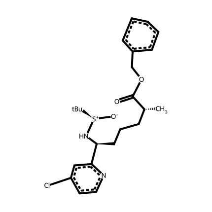 C[C@H](CCC[C@H](N[S@+]([O-])C(C)(C)C)c1cc(Cl)ccn1)C(=O)OCc1ccccc1